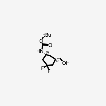 CC(C)(C)OC(=O)N[C@@H]1C[C@H](CO)CC(F)(F)C1